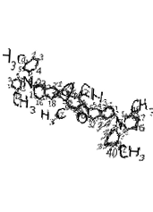 Cc1cccc(N(c2cccc(C)c2)c2ccc3cc4c(cc3c2)oc2c(C)c3c(oc5cc6cc(N(c7cccc(C)c7)c7cccc(C)c7)ccc6cc53)c(C)c24)c1